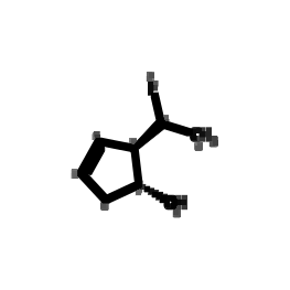 CC(F)[C@@H]1C=CC[C@H]1O